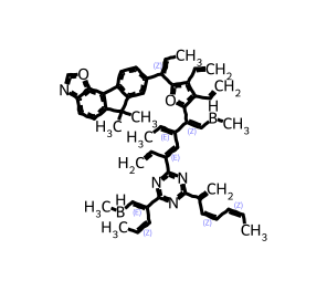 C=C\C(=C/C(=C\C)C(=C/BC)/c1oc(/C(=C\C)c2ccc3c(c2)C(C)(C)c2ccc4ncoc4c2-3)c(C=C)c1C=C)c1nc(C(=C)/C=C\C=C/C)nc(C(/C=C\C)=C/BC)n1